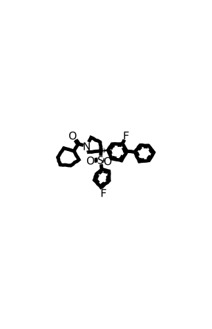 O=C(C1CCCCC1)N1CC[C@](c2ccc(-c3ccccc3)c(F)c2)(S(=O)(=O)c2ccc(F)cc2)C1